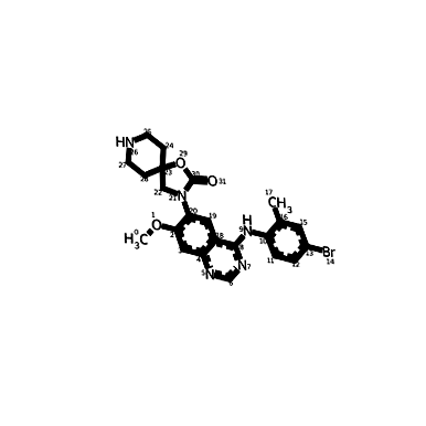 COc1cc2ncnc(Nc3ccc(Br)cc3C)c2cc1N1CC2(CCNCC2)OC1=O